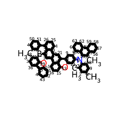 Cc1cc(C)c(N(c2ccc3c(c2)Oc2cccc4c2c-3cc2c3cccc5c3c(cc42)B(c2cccc3c2oc2ccccc23)c2c(C)cccc2-5)c2cc3ccccc3c3ccccc23)c(C)c1